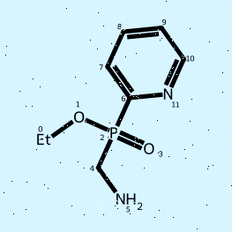 CCOP(=O)([CH]N)c1ccccn1